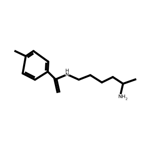 C=C(NCCCCC(C)N)c1ccc(C)cc1